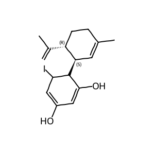 C=C(C)[C@@H]1CCC(C)=C[C@H]1C1C(O)=CC(O)=CC1I